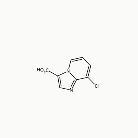 O=C(O)c1cnc2c(Cl)cccn12